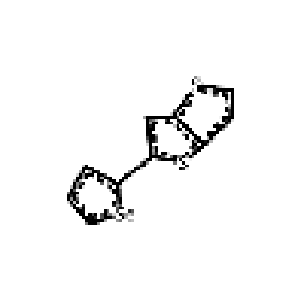 c1c[se]c(-c2cc3sccc3s2)c1